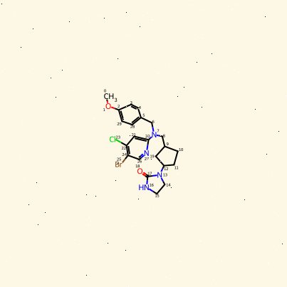 COc1ccc(CN(CC2CCC(N3CCNC3=O)C2)c2cc(Cl)c(Br)cn2)cc1